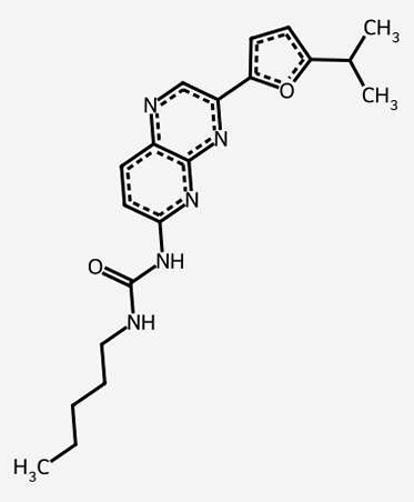 CCCCCNC(=O)Nc1ccc2ncc(-c3ccc(C(C)C)o3)nc2n1